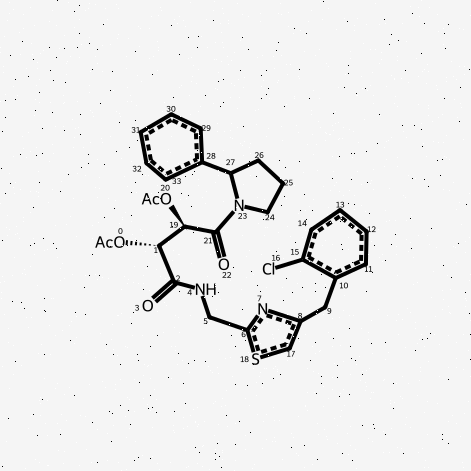 CC(=O)O[C@@H](C(=O)NCc1nc(Cc2ccccc2Cl)cs1)[C@@H](OC(C)=O)C(=O)N1CCCC1c1ccccc1